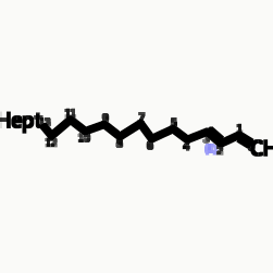 C=C/C=C/CCCCCCCCCCCCCCCC